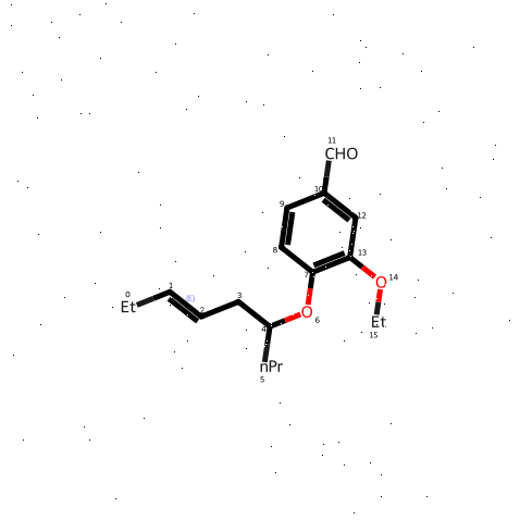 CC/C=C/CC(CCC)Oc1ccc(C=O)cc1OCC